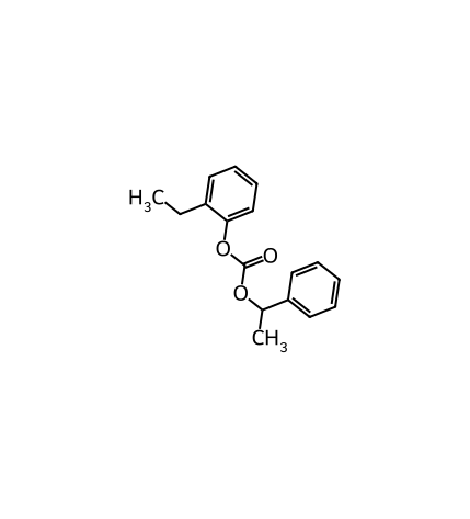 CCc1ccccc1OC(=O)OC(C)c1ccccc1